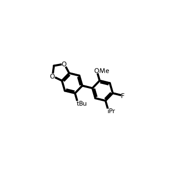 COc1cc(F)c(C(C)C)cc1-c1cc2c(cc1C(C)(C)C)OCO2